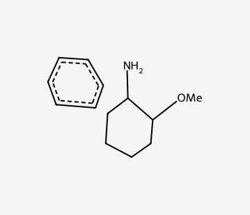 COC1CCCCC1N.c1ccccc1